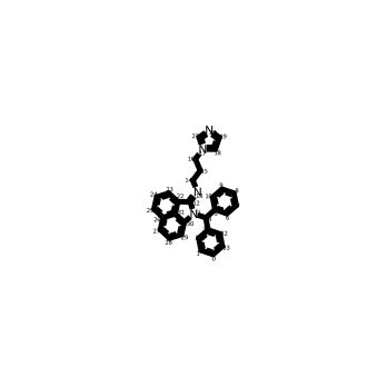 c1ccc(C(c2ccccc2)N2C(=NCCCn3ccnc3)c3cccc4cccc2c34)cc1